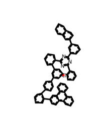 N#Cc1cc(-c2ccc(-c3ccccc3-c3ccc4c5ccccc5c5ccccc5c4c3)cc2)cc(-c2ccccc2-c2nc(-c3ccccc3)nc(-c3cccc(-c4ccc5ccccc5c4)c3)n2)c1